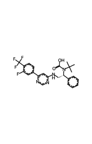 CC(C)(C)N(C(=O)O)[C@@H](CNc1cc(-c2ccc(C(F)(F)F)c(F)c2)ncn1)c1ccccc1